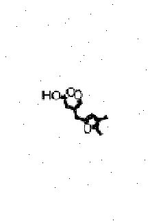 Cc1cc(CC(C=O)CC(=O)O)oc1C